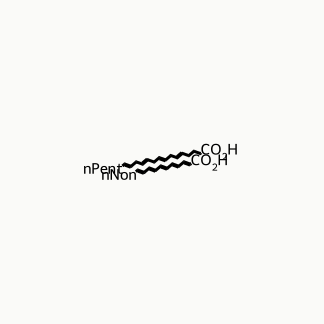 CCCCCC=CCC=CCC=CCC=CCCCC(=O)O.CCCCCCCCCC=CC=CC=CC=CC=CC(=O)O